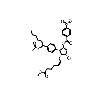 CCCCCC(OC(C)=O)c1ccc([C@H]2C(OC(=O)c3ccc([N+](=O)[O-])cc3)C[C@@H](Cl)[C@@H]2C/C=C\CCCC(=O)OC)cc1